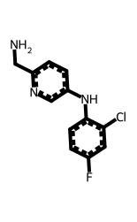 NCc1ccc(Nc2ccc(F)cc2Cl)cn1